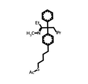 CC/C(=N\C)C(CC(C)C)(c1ccccc1)c1ccc(CCCCSC(C)=O)cc1